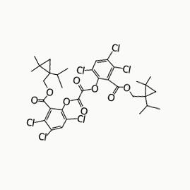 CC(C)C1(COC(=O)c2c(Cl)c(Cl)cc(Cl)c2OC(=O)C(=O)Oc2c(Cl)cc(Cl)c(Cl)c2C(=O)OCC2(C(C)C)CC2(C)C)CC1(C)C